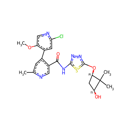 COc1cnc(Cl)cc1-c1cc(C)ncc1C(=O)Nc1nnc(O[C@@H]2C[C@H](O)C2(C)C)s1